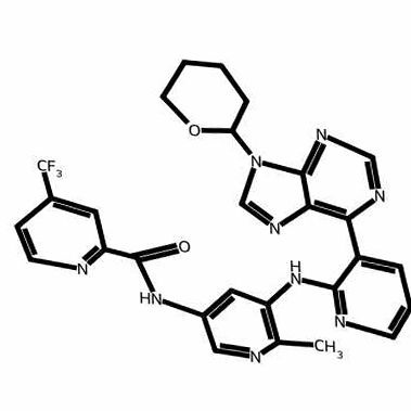 Cc1ncc(NC(=O)c2cc(C(F)(F)F)ccn2)cc1Nc1ncccc1-c1ncnc2c1ncn2C1CCCCO1